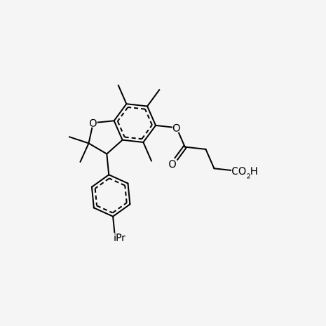 Cc1c(C)c2c(c(C)c1OC(=O)CCC(=O)O)C(c1ccc(C(C)C)cc1)C(C)(C)O2